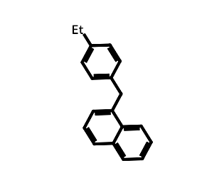 CCc1ccc(Cc2cccc3ccccc23)cc1